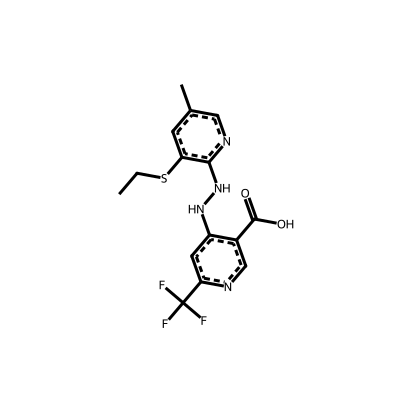 CCSc1cc(C)cnc1NNc1cc(C(F)(F)F)ncc1C(=O)O